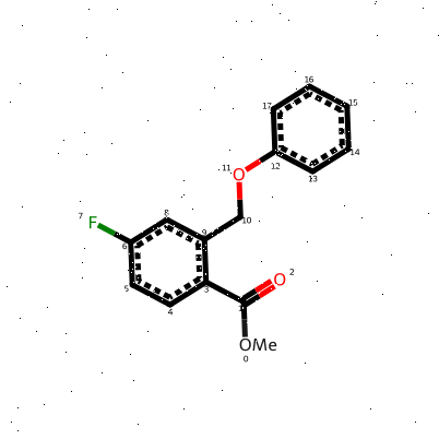 COC(=O)c1ccc(F)cc1COc1ccccc1